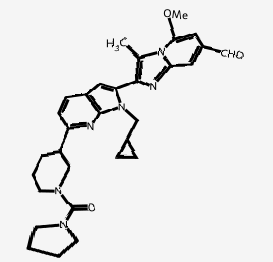 COc1cc(C=O)cc2nc(-c3cc4ccc(C5CCCN(C(=O)N6CCCC6)C5)nc4n3CC3CC3)c(C)n12